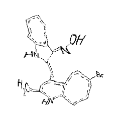 C=c1[nH]c2ccc(Br)cc2/c1=C1/Nc2ccccc2/C1=N\O